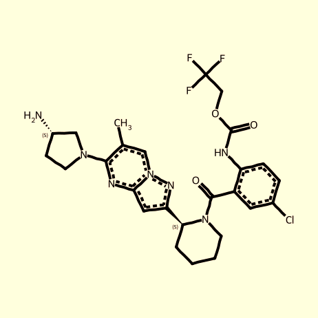 Cc1cn2nc([C@@H]3CCCCN3C(=O)c3cc(Cl)ccc3NC(=O)OCC(F)(F)F)cc2nc1N1CC[C@H](N)C1